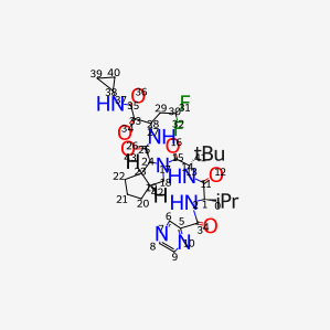 CC(C)[C@@H](NC(=O)c1cnccn1)C(=O)N[C@H](C(=O)N1C[C@@H]2CCC[C@@H]2[C@H]1C(=O)NC(CC(F)F)C(=O)C(=O)NC1CC1)C(C)(C)C